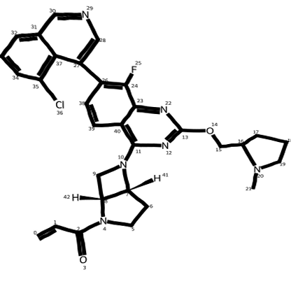 C=CC(=O)N1CC[C@@H]2[C@H]1CN2c1nc(OCC2CCCN2C)nc2c(F)c(-c3cncc4cccc(Cl)c34)ccc12